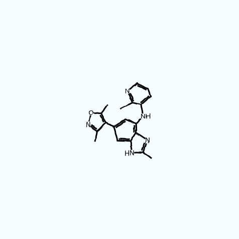 Cc1nc2c(Nc3cccnc3C)cc(-c3c(C)noc3C)cc2[nH]1